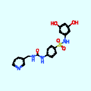 O=C(NCc1cccnc1)Nc1ccc(S(=O)(=O)Nc2cc(O)cc(O)c2)cc1